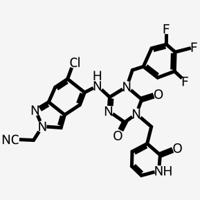 N#CCn1cc2cc(Nc3nc(=O)n(Cc4ccc[nH]c4=O)c(=O)n3Cc3cc(F)c(F)c(F)c3)c(Cl)cc2n1